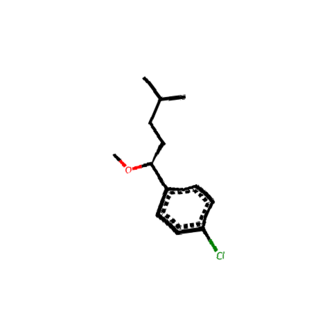 CO[C@@H](CCC(C)C)c1ccc(Cl)cc1